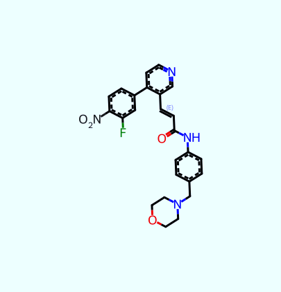 O=C(/C=C/c1cnccc1-c1ccc([N+](=O)[O-])c(F)c1)Nc1ccc(CN2CCOCC2)cc1